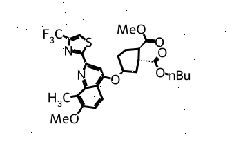 CCCCOC(=O)[C@@H]1C[C@@H](Oc2cc(-c3nc(C(F)(F)F)cs3)nc3c(C)c(OC)ccc23)CC[C@H]1C(=O)OC